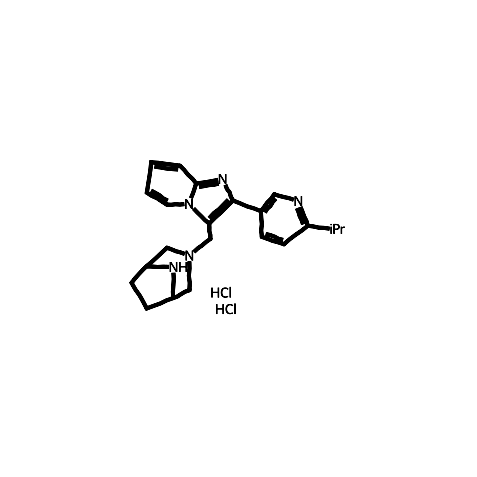 CC(C)c1ccc(-c2nc3ccccn3c2CN2CC3CCC(C2)N3)cn1.Cl.Cl